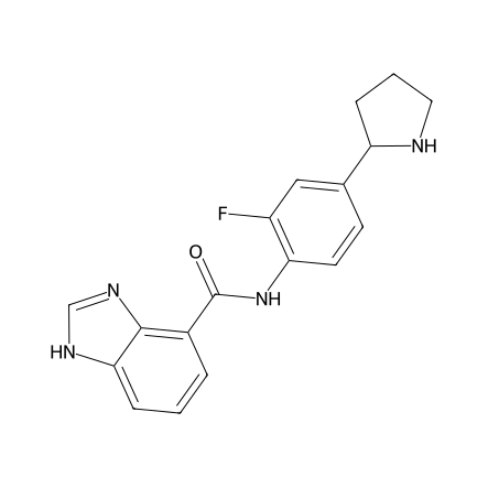 O=C(Nc1ccc(C2CCCN2)cc1F)c1cccc2[nH]cnc12